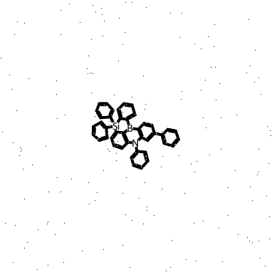 c1ccc(-c2ccc3c(c2)N(c2ccccc2)c2cccc4c2B3c2ccccc2[Si]4(c2ccccc2)c2ccccc2)cc1